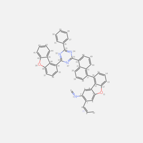 C=Nc1cc2c(cc1/C=C\C)oc1cccc(-c3cccc4c(-c5nc(-c6ccccc6)nc(-c6cccc7oc8ccccc8c67)n5)cccc34)c12